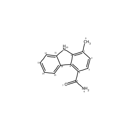 Cc1ccc(C(N)=O)c2c1[nH]c1ccccc12